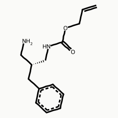 C=CCOC(=O)NC[C@@H](CN)Cc1ccccc1